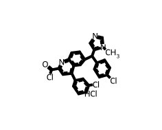 Cl.Cn1cncc1C(c1ccc(Cl)cc1)c1ccc2nc(C(=O)Cl)cc(-c3cccc(Cl)c3)c2c1